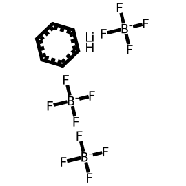 F[B-](F)(F)F.F[B-](F)(F)F.F[B-](F)(F)F.[LiH].c1ccccc1